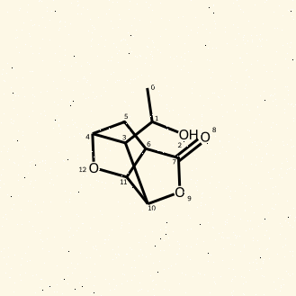 CC(O)C1C2CC3C(=O)OC1C3O2